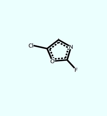 Fc1n[c]c(Cl)o1